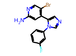 Nc1cc(-c2cncn2-c2cccc(F)c2)c(Br)cn1